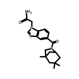 CC1(C)CC2CC(C)(CN2C(=O)c2ccc3c(c2)ncn3CC(N)=O)C1